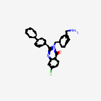 NCc1cccc(Cn2c(-c3ccc(-c4ccccc4)cc3)nc3cc(Cl)ccc3c2=O)c1